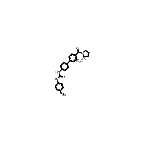 CCCCc1ccc(NC(=O)Nc2ccc(-c3ccc(C(=O)N4CCC[C@@H]4C(=O)O)cc3)cc2)cc1